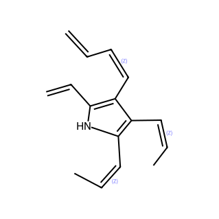 C=C/C=C\c1c(C=C)[nH]c(/C=C\C)c1/C=C\C